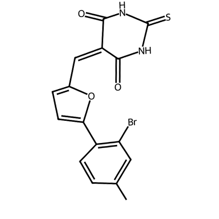 Cc1ccc(-c2ccc(C=C3C(=O)NC(=S)NC3=O)o2)c(Br)c1